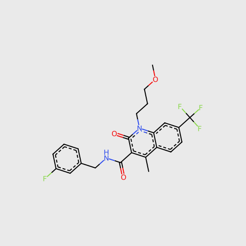 COCCCn1c(=O)c(C(=O)NCc2cccc(F)c2)c(C)c2ccc(C(F)(F)F)cc21